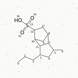 CCCC1CC(C)C2C3CC(C12)C(S(=O)(=O)O)C3